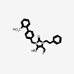 CCCCc1c(CF)n(CCc2ccccc2)c(=O)n1Cc1ccc(-c2ccccc2C(=O)O)cc1